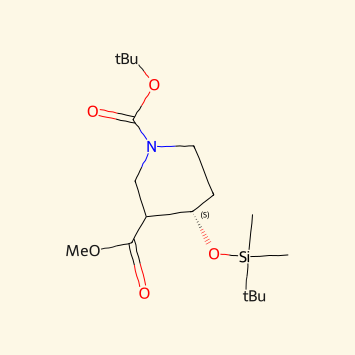 COC(=O)C1CN(C(=O)OC(C)(C)C)CC[C@@H]1O[Si](C)(C)C(C)(C)C